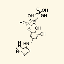 O=P(O)(O)OC[C@H]1OC(Oc2cc(CNc3ncnc4nc[nH]c34)cc(O)c2O)[C@H](O)[C@@H]1O